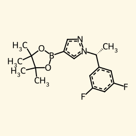 C[C@H](c1cc(F)cc(F)c1)n1cc(B2OC(C)(C)C(C)(C)O2)cn1